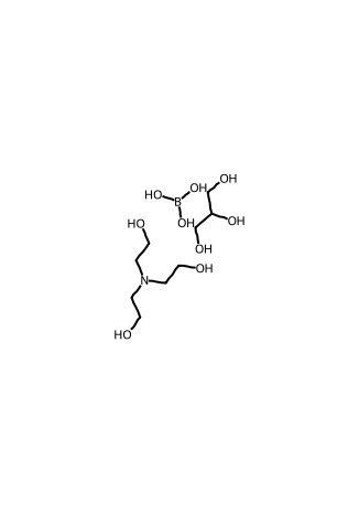 OB(O)O.OCC(O)CO.OCCN(CCO)CCO